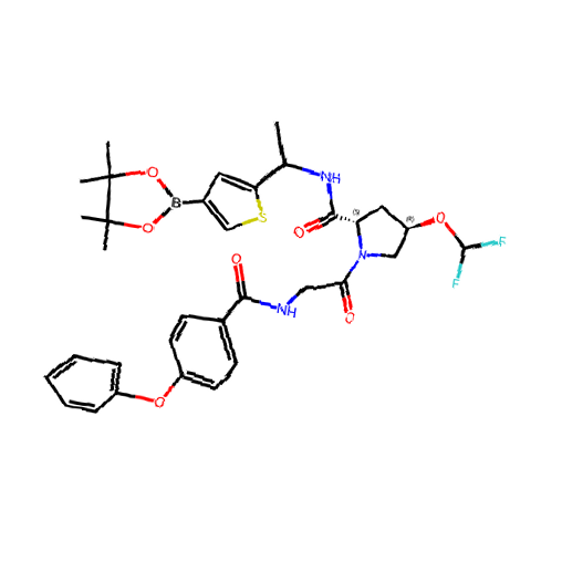 CC(NC(=O)[C@@H]1C[C@@H](OC(F)F)CN1C(=O)CNC(=O)c1ccc(Oc2ccccc2)cc1)c1cc(B2OC(C)(C)C(C)(C)O2)cs1